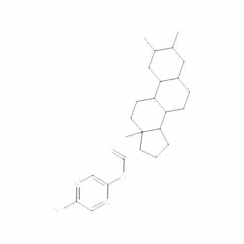 CC1CC2CCC3C(CCC4(C)C3CC[C@@H]4C(=O)Nc3cnc(C#N)cn3)C2CC1C